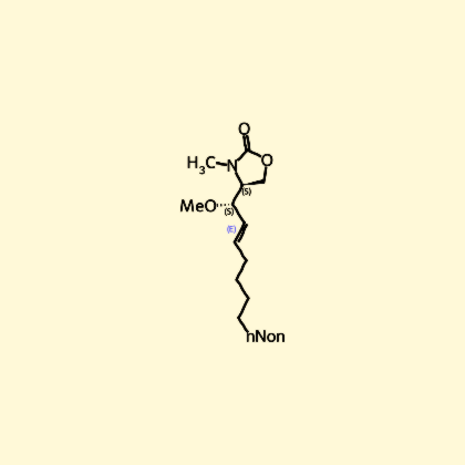 CCCCCCCCCCCCC/C=C/[C@H](OC)[C@@H]1COC(=O)N1C